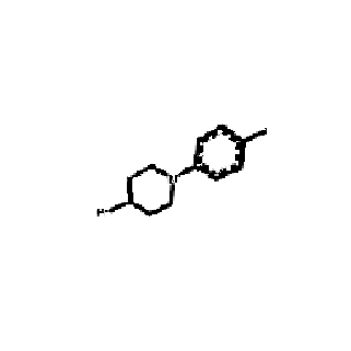 Cc1ccc(N2CCC(C(C)C)CC2)cc1